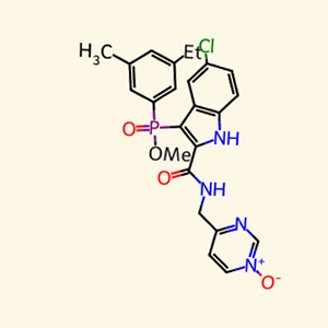 CCc1cc(C)cc(P(=O)(OC)c2c(C(=O)NCc3cc[n+]([O-])cn3)[nH]c3ccc(Cl)cc23)c1